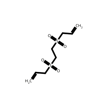 C=CCS(=O)(=O)CCS(=O)(=O)CC=C